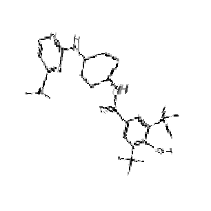 CN(C)c1ccnc(NC2CCC(NC(=O)c3cc(C(C)(C)C)c(O)c(C(C)(C)C)c3)CC2)n1